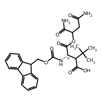 CC(C)(C)C(C(=O)O)[C@H](NC(=O)OCC1c2ccccc2-c2ccccc21)C(=O)OC(CC(N)=O)C(N)=O